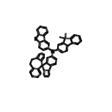 CC1(C)c2ccccc2-c2ccc(N(c3ccc4c(c3)C3(c5ccccc5CCc5ccccc53)c3ccccc3-4)c3ccc4sc5ccccc5c4c3)cc21